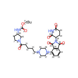 CC(C)(C)OC(=O)N[C@@H]1CCN(C(=O)CCCCN2CCN(c3cccc4c3C(=O)N(C3CCC(=O)NC3=O)C4=O)CC2)C1